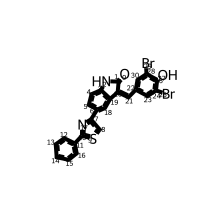 O=C1Nc2ccc(-c3csc(-c4ccccc4)n3)cc2C1=Cc1cc(Br)c(O)c(Br)c1